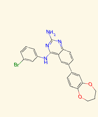 Nc1nc(Nc2cccc(Br)c2)c2cc(-c3ccc4c(c3)OCCCO4)ccc2n1